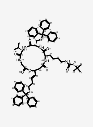 CC(C)[C@H]1NC(=O)[C@@H](CSC(c2ccccc2)(c2ccccc2)c2ccccc2)NC(=O)[C@@H](CCCCNC(=O)OC(C)(C)C)NC(=O)CC(/C=C/CCSC(c2ccccc2)(c2ccccc2)c2ccccc2)OC(=O)CNC1=O